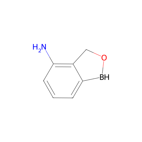 Nc1cccc2c1COB2